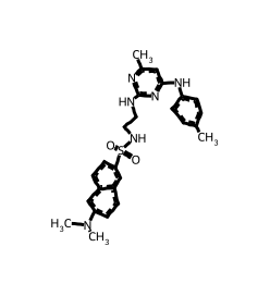 Cc1ccc(Nc2cc(C)nc(NCCNS(=O)(=O)c3ccc4cc(N(C)C)ccc4c3)n2)cc1